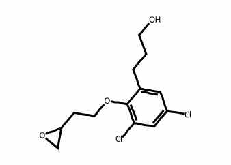 OCCCc1cc(Cl)cc(Cl)c1OCCC1CO1